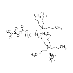 CCCC[N+](CCCC)(CCCC)CCCC.CCCC[N+](CCCC)(CCCC)CCCC.O=C([O-])[O-].O=S([O-])S(=O)[O-].[Br-].[H+].[Na+].[Na+]